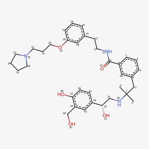 CC(C)(Cc1cccc(C(=O)NCCc2cccc(OCCCN3CCCC3)c2)c1)NC[C@H](O)c1ccc(O)c(CO)c1